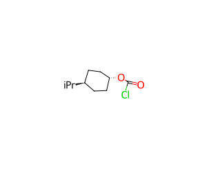 CC(C)[C@H]1CC[C@H](OC(=O)Cl)CC1